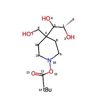 C[C@H](O)C(O)C1(CO)CCN(OC(=O)C(C)(C)C)CC1